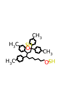 Cc1ccc(C(CCCCCCOS)C(CC(OS)(c2ccc(C)cc2)c2ccc(C)cc2)c2ccc(C)cc2)cc1